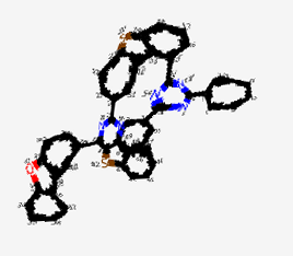 c1ccc(-c2nc(-c3ccccc3)nc(-c3cccc4sc5ccc(-c6nc(-c7ccc8oc9ccccc9c8c7)c7sc8ccccc8c7n6)cc5c34)n2)cc1